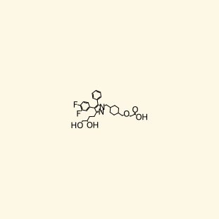 O=C(O)COCC1CCC(Cn2nc(CCC(O)CO)c(-c3ccc(F)c(F)c3)c2-c2ccccc2)CC1